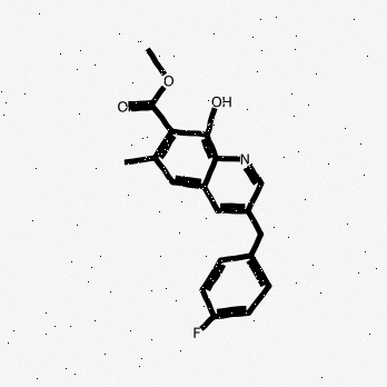 COC(=O)c1c(C)cc2cc(Cc3ccc(F)cc3)cnc2c1O